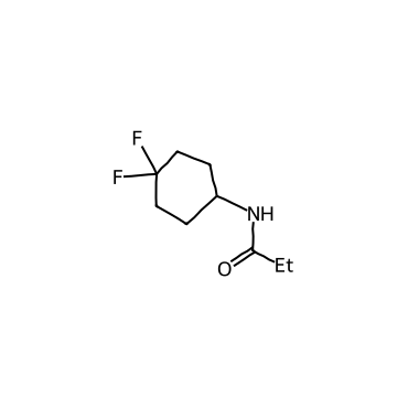 CCC(=O)NC1CCC(F)(F)CC1